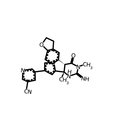 CN1C(=N)N[C@](C)(c2cc(-c3cncc(C#N)c3)cs2)[C@H](c2ccc3c(c2)CCO3)C1=O